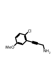 COc1ccc(Cl)c(C#CCN)c1